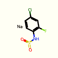 O=[SH](=O)Nc1ccc(Cl)cc1F.[Na]